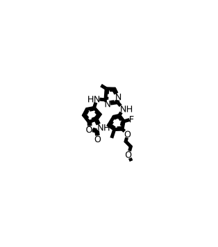 COCCOc1c(C)ccc(Nc2ncc(C)c(Nc3ccc4oc(=O)[nH]c4c3)n2)c1F